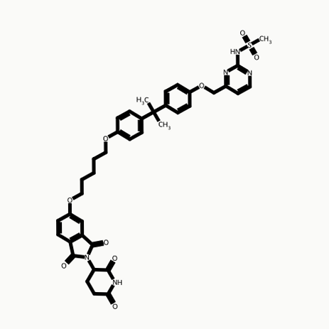 CC(C)(c1ccc(OCCCCCOc2ccc3c(c2)C(=O)N(C2CCC(=O)NC2=O)C3=O)cc1)c1ccc(OCc2ccnc(NS(C)(=O)=O)n2)cc1